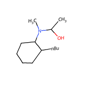 CCCCC1CCCCC1N(C)C(C)O